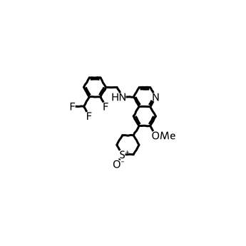 COc1cc2nccc(NCc3cccc(C(F)F)c3F)c2cc1C1CC[S+]([O-])CC1